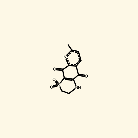 Cc1ccc2c(n1)C(=O)C1=C(NCCS1(=O)=O)C2=O